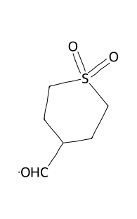 O=[C]C1CCS(=O)(=O)CC1